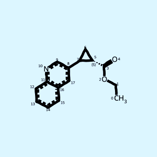 CCOC(=O)[C@H]1CC1c1cnc2ccccc2c1